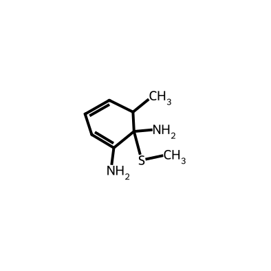 CSC1(N)C(N)=CC=CC1C